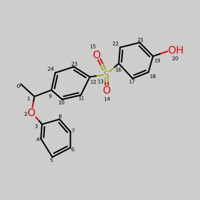 [CH2]C(Oc1ccccc1)c1ccc(S(=O)(=O)c2ccc(O)cc2)cc1